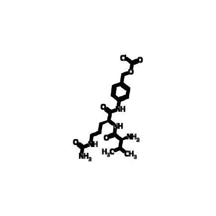 CC(C)[C@H](N)C(=O)N[C@@H](CCCNC(N)=O)C(=O)Nc1ccc(COC(=O)Cl)cc1